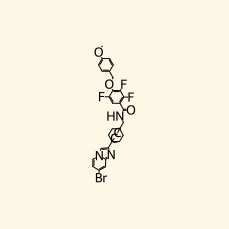 COc1ccc(COc2c(F)cc(C(=O)NCC34CCC(c5cn6ccc(Br)cc6n5)(CC3)CC4)c(F)c2F)cc1